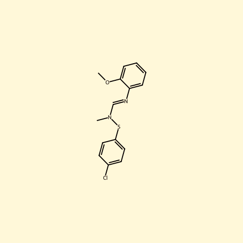 COc1ccccc1N=CN(C)Sc1ccc(Cl)cc1